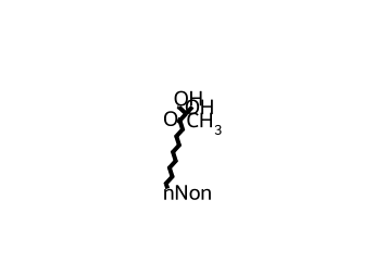 CCCCCCCCCCCCCCCCCC(=O)C(C)(O)CO